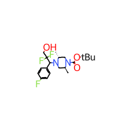 C[C@@H]1CN(C(=O)OC(C)(C)C)[C@@H](C)CN1C(c1ccc(F)cc1)C(F)(F)CO